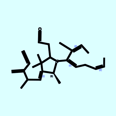 C=CC(=C)C(C)/C=C1/[C@H](C)N(C(=C/C/C=C\C)/C(C)=C\C)C(CC=O)C1(C)C